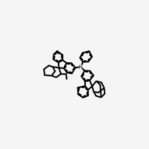 CCC1CC2CCCC(C2)C12c1ccccc1-c1cc(N(c3ccccc3)c3ccc4c(c3)-c3ccccc3C43C4CC5CC(C4)CC3C5)ccc12